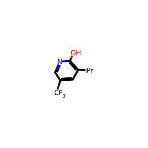 CC(C)c1cc(C(F)(F)F)cnc1O